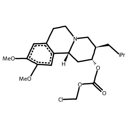 COc1cc2c(cc1OC)[C@H]1C[C@@H](OC(=O)OCCl)[C@H](CC(C)C)CN1CC2